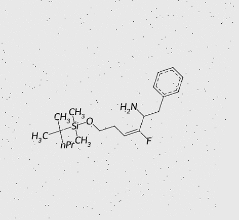 CCCC(C)(C)[Si](C)(C)OCC/C=C(/F)C(N)Cc1ccccc1